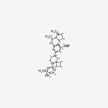 C[C@H](Oc1cc(N2CCN(C(=O)OC(C)(C)C)C3(CCC3)C2)cc(C#N)n1)[C@@H]1CCCN1C